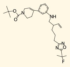 C=CC(CCCc1noc(C(C)(C)F)n1)CNc1cccc(C2=CCN(C(=O)OC(C)(C)C)CC2)c1